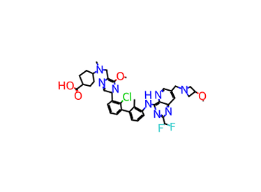 COc1nc(-c2cccc(-c3cccc(Nc4nc(C(F)F)nc5cc(CN6CC(OC)C6)cnc45)c3C)c2Cl)cnc1CN(C)C1CCC(C(=O)O)CC1